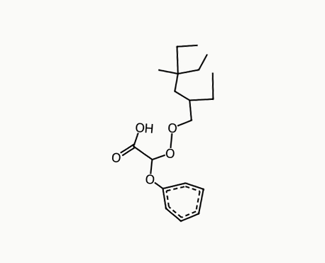 CCC(COOC(Oc1ccccc1)C(=O)O)CC(C)(CC)CC